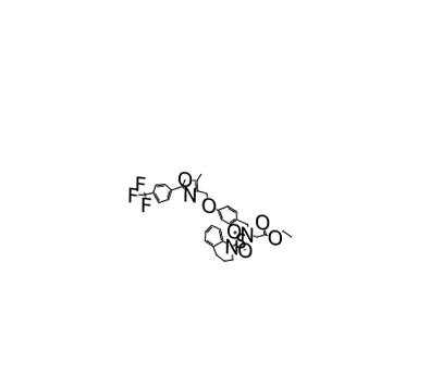 CCOC(=O)CN(Cc1ccc(OCc2nc(-c3ccc(C(F)(F)F)cc3)oc2C)cc1)S(=O)(=O)N1CCCc2ccccc21